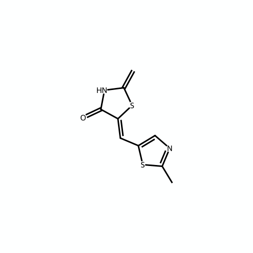 C=c1[nH]c(=O)/c(=C/c2cnc(C)s2)s1